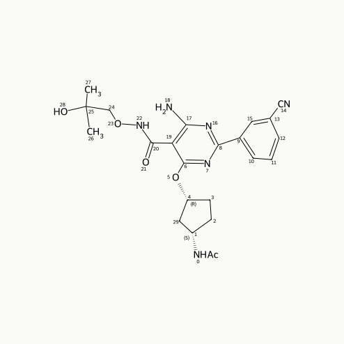 CC(=O)N[C@H]1CC[C@@H](Oc2nc(-c3cccc(C#N)c3)nc(N)c2C(=O)NOCC(C)(C)O)C1